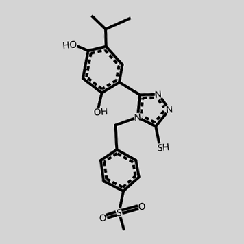 CC(C)c1cc(-c2nnc(S)n2Cc2ccc(S(C)(=O)=O)cc2)c(O)cc1O